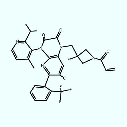 C=CC(=O)N1CC(F)(Cn2c(=O)c(=O)n(-c3c(C)ccnc3C(C)C)c3nc(-c4ccccc4C(F)(F)F)c(Cl)cc32)C1